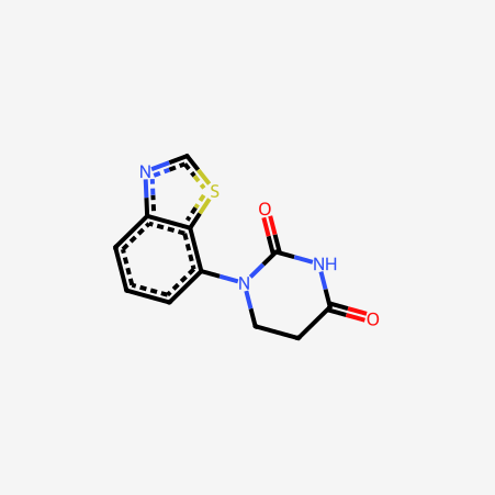 O=C1CCN(c2cccc3ncsc23)C(=O)N1